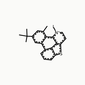 Cc1cc(C(C)(C)C)cc2c3cccc4sc5cc[n+](I)c(c12)c5c43